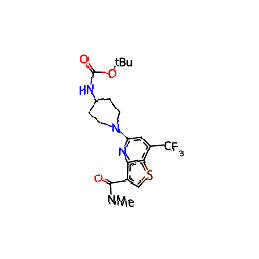 CNC(=O)c1csc2c(C(F)(F)F)cc(N3CCC(NC(=O)OC(C)(C)C)CC3)nc12